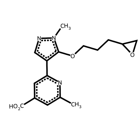 Cc1cc(C(=O)O)cc(-c2cnn(C)c2OCCCC2CO2)n1